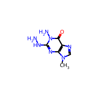 Cn1cnc2c(=O)n(N)c(NN)nc21